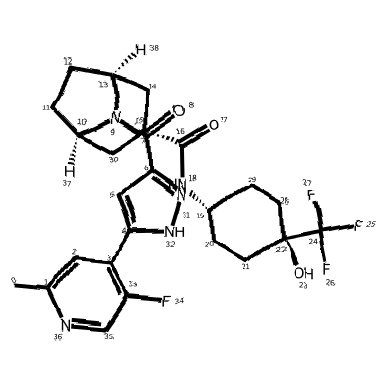 Cc1cc(-c2cc(C(=O)N3[C@@H]4CC[C@H]3C[C@H](C(=O)N[C@H]3CC[C@@](O)(C(F)(F)F)CC3)C4)n[nH]2)c(F)cn1